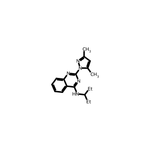 CCC(CC)Nc1nc(-n2nc(C)cc2C)nc2ccccc12